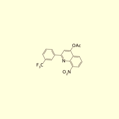 CC(=O)Oc1cc(-c2cccc(C(F)(F)F)c2)nc2c([N+](=O)[O-])cccc12